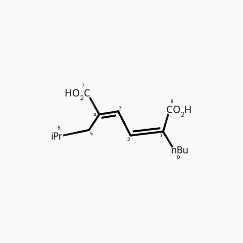 CCCCC(=CC=C(CC(C)C)C(=O)O)C(=O)O